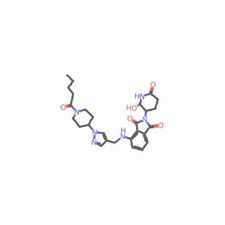 CCCCC(=O)N1CCC(n2cc(CNc3cccc4c3C(=O)N(C3CCC(=O)NC3O)C4=O)cn2)CC1